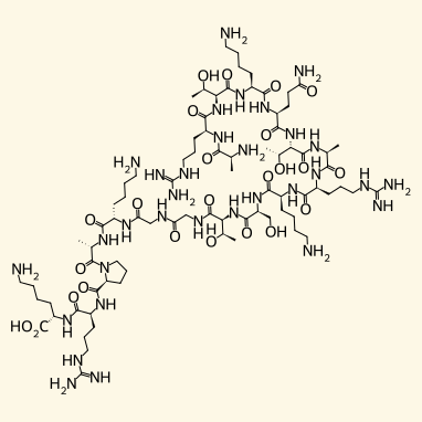 C[C@H](N)C(=O)N[C@@H](CCCNC(=N)N)C(=O)N[C@H](C(=O)N[C@@H](CCCCN)C(=O)N[C@@H](CCC(N)=O)C(=O)N[C@H](C(=O)N[C@@H](C)C(=O)N[C@@H](CCCNC(=N)N)C(=O)N[C@@H](CCCCN)C(=O)N[C@@H](CO)C(=O)N[C@H](C(=O)NCC(=O)NCC(=O)N[C@@H](CCCCN)C(=O)N[C@@H](C)C(=O)N1CCC[C@H]1C(=O)N[C@@H](CCCNC(=N)N)C(=O)N[C@@H](CCCCN)C(=O)O)[C@@H](C)O)[C@@H](C)O)[C@@H](C)O